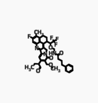 CCC(C=O)c1cc2n(c(=O)c1COC)Cc1c-2nc2cc(F)c(C)c3c2c1C(C(OCNC(=O)CCCc1ccccc1)C(F)(F)F)CC3